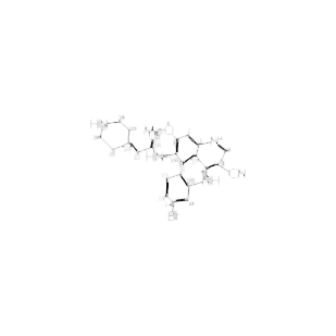 COc1cc2ncc(C#N)c(Nc3cccc(Br)c3)c2cc1NC(=O)C=C1CCNCC1